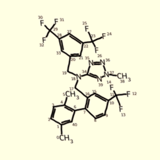 Cc1ccc(C)c(-c2ccc(C(F)(F)F)cc2CN(Cc2cc(C(F)(F)F)cc(C(F)(F)F)c2)c2nnn(C)n2)c1